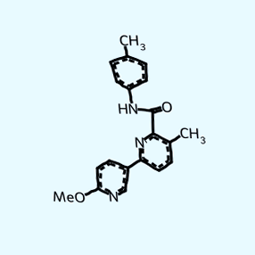 COc1ccc(-c2ccc(C)c(C(=O)Nc3ccc(C)cc3)n2)cn1